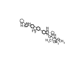 COC(=O)N[C@H](C(=O)N1CCC[C@H]1c1nc2ccc(-c3ccc4c(c3)C(F)(F)c3cc(-c5cnc(C6CCCCN6)[nH]5)ccc3-4)cc2[nH]1)C(C)C